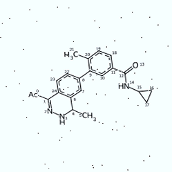 CC(=O)C1=NNC(C)c2cc(-c3cc(C(=O)NC4CC4)ccc3C)ccc21